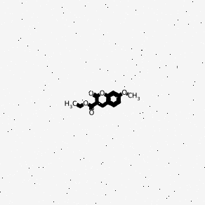 CCOC(=O)C1Cc2ccc(OC)cc2OC1=O